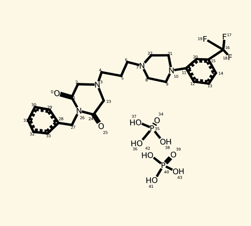 O=C1CN(CCCN2CCN(c3cccc(C(F)(F)F)c3)CC2)CC(=O)N1Cc1ccccc1.O=P(O)(O)O.O=P(O)(O)O